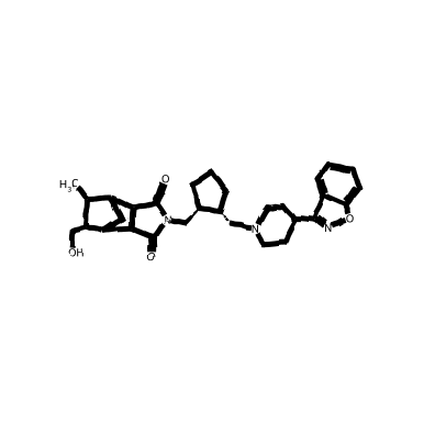 CC1C(CO)C2CC1C1C(=O)N(C[C@H]3CCC[C@@H]3CN3CCC(c4noc5ccccc45)CC3)C(=O)C21